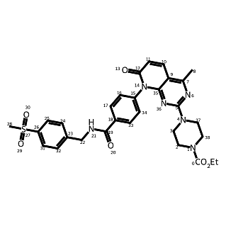 CCOC(=O)N1CCN(c2nc(C)c3ccc(=O)n(-c4ccc(C(=O)NCc5ccc(S(C)(=O)=O)cc5)cc4)c3n2)CC1